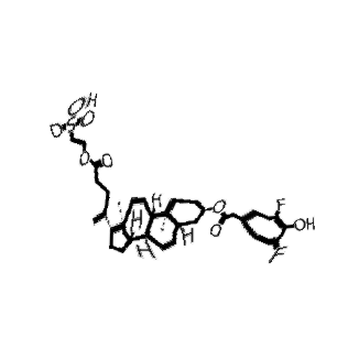 CC(CCC(=O)OCCS(=O)(=O)O)[C@H]1CC[C@H]2[C@@H]3CC[C@@H]4C[C@H](OC(=O)C5C=C(F)C(O)=C(F)C5)CC[C@]4(C)[C@H]3CC[C@]12C